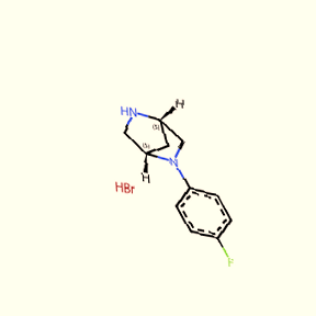 Br.Fc1ccc(N2C[C@@H]3C[C@H]2CN3)cc1